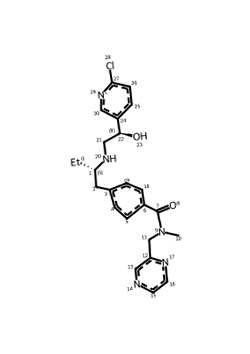 CC[C@@H](Cc1ccc(C(=O)N(C)Cc2cnccn2)cc1)NC[C@H](O)c1ccc(Cl)nc1